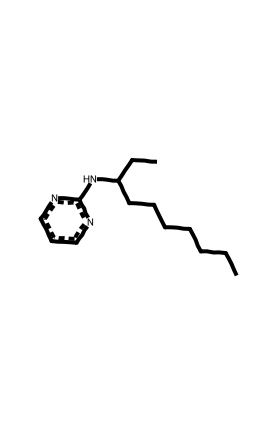 CCCCCCCC(CC)Nc1ncccn1